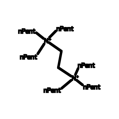 CCCCC[N+](CCCCC)(CCCCC)CC[N+](CCCCC)(CCCCC)CCCCC